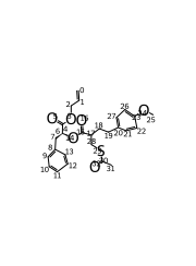 C=CCOC(=O)[C@H](Cc1ccccc1)OC(=O)C(CCc1ccc(OC)cc1)CSC(C)=O